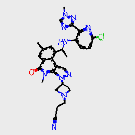 Cc1cc(C(C)Nc2ccc(Cl)nc2-c2ncn(C)n2)c2c(c1)c(=O)n(C)c1c2cnn1C1CN(CCC#N)C1